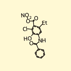 CCc1cc(NC(=O)c2ccccc2)c(O)c(Cl)c1C(=O)O[N+](=O)[O-]